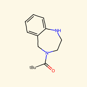 CC(C)(C)C(=O)N1CCNc2ccccc2C1